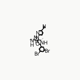 CNc1nc([C@H](C)NC(=O)c2cc(Br)cc(Br)c2)n(-c2ccc(C#N)cn2)n1